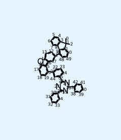 CC1(C)c2ccccc2-c2c(-c3ccc4oc5cccc(-c6cccc(-c7nc(-c8ccccc8)nc(-c8ccccc8)n7)c6)c5c4c3)cccc21